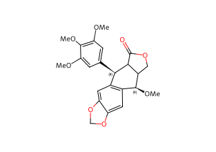 COc1cc([C@@H]2c3cc4c(cc3[C@H](OC)C3COC(=O)C32)OCO4)cc(OC)c1OC